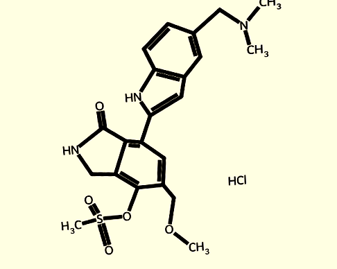 COCc1cc(-c2cc3cc(CN(C)C)ccc3[nH]2)c2c(c1OS(C)(=O)=O)CNC2=O.Cl